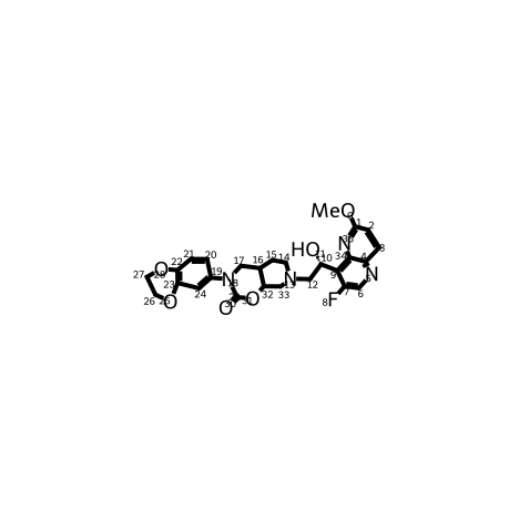 COc1ccc2ncc(F)c([C@@H](O)CN3CCC4CN(c5ccc6c(c5)OCCO6)C(=O)OC4C3)c2n1